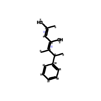 C/C(=C(O)\C=C(/C)O)C(C)c1ccccc1